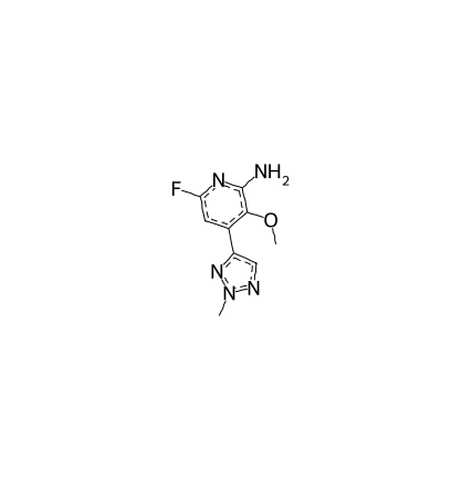 COc1c(-c2cnn(C)n2)cc(F)nc1N